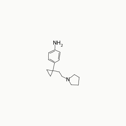 Nc1ccc(C2(CCN3CCCC3)CC2)cc1